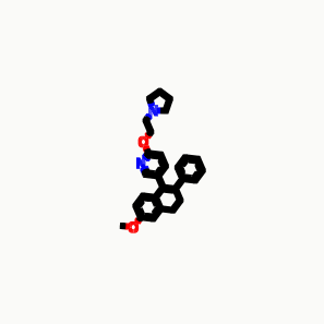 COc1ccc2c(c1)CCC(c1ccccc1)=C2c1ccc(OCCN2CCCC2)nc1